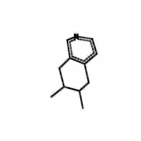 CC1Cc2ccncc2CC1C